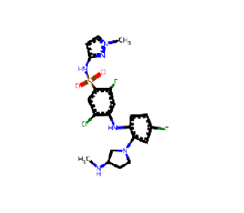 CNC1CCN(c2cc(F)ccc2Nc2cc(F)c(S(=O)(=O)Nc3ccn(C)n3)cc2Cl)C1